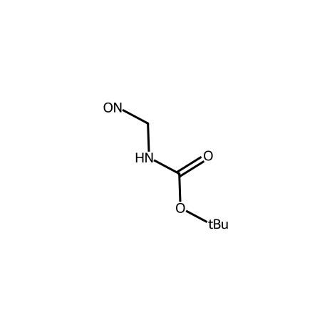 CC(C)(C)OC(=O)NCN=O